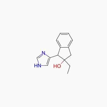 CCC1(O)Cc2ccccc2C1c1c[nH]cn1